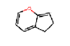 [C]1=C2OC=CC=C2CC1